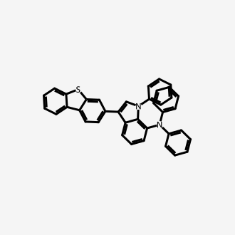 c1ccc(N(c2ccccc2)c2cccc3c(-c4ccc5c(c4)sc4ccccc45)cn(-c4ccccc4)c23)cc1